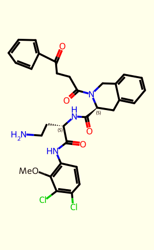 COc1c(NC(=O)[C@H](CCN)NC(=O)[C@@H]2Cc3ccccc3CN2C(=O)CCC(=O)c2ccccc2)ccc(Cl)c1Cl